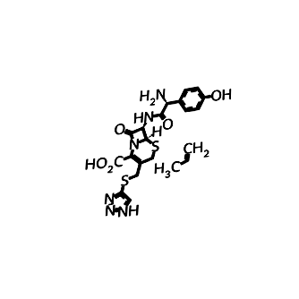 C=CC.N[C@@H](C(=O)N[C@@H]1C(=O)N2C(C(=O)O)=C(CSc3c[nH]nn3)CS[C@H]12)c1ccc(O)cc1